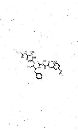 CC[C@H](C)[C@H](NC(=O)CC(O)C(Cc1ccccc1)NC(=O)[C@@H](NC(=O)Cc1cc(OC(F)(F)F)ccc1OC)C(C)C)C(=O)N[C@H](C(=O)O)C(C)C